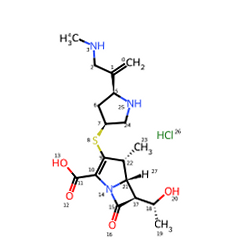 C=C(CNC)[C@@H]1C[C@H](SC2=C(C(=O)O)N3C(=O)[C@H]([C@@H](C)O)[C@H]3[C@H]2C)CN1.Cl